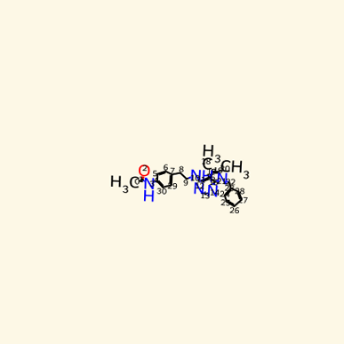 CC(=O)Nc1ccc(CCNc2ncnc3c2c(C)c(C)n3Cc2ccccc2)cc1